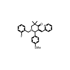 CSc1ccc(C2C(=Cc3ccccn3)C(=O)C(C)(C)CN2Cc2ccccc2F)cc1